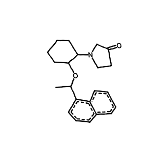 CC(OC1CCCCC1N1CCC(=O)C1)c1cccc2ccccc12